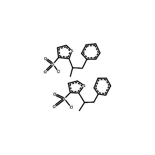 CC(Cc1ccccc1)c1sccc1S(=O)(=O)Cl.CC(Cc1ccccc1)c1sccc1S(=O)(=O)Cl